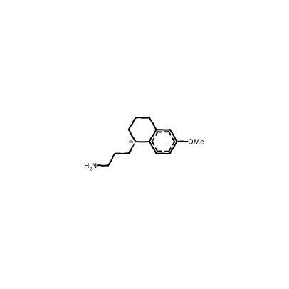 COc1ccc2c(c1)CCC[C@@H]2CCCN